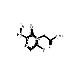 COC(=O)Cn1c(Br)cnc(NC(C)C)c1=O